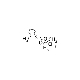 Cc1ccccc1SCC(=O)OC(C)(C)C